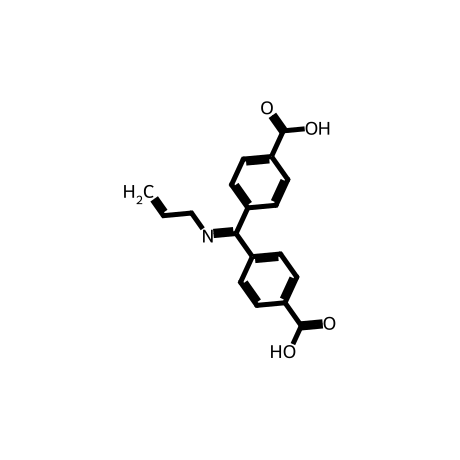 C=CCN=C(c1ccc(C(=O)O)cc1)c1ccc(C(=O)O)cc1